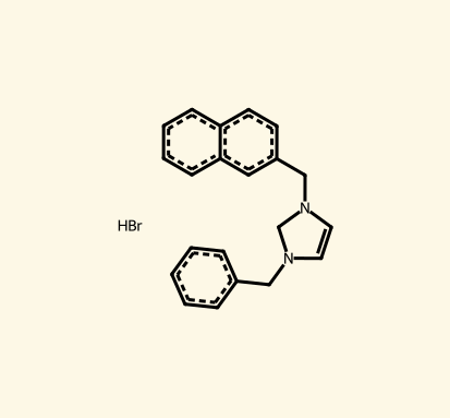 Br.C1=CN(Cc2ccc3ccccc3c2)CN1Cc1ccccc1